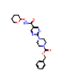 O=C(NOC1CCCCO1)c1cnc(N2CCN(C(=O)OCc3ccccc3)CC2)nc1